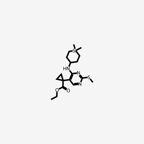 CCOC(=O)C1(c2cnc(SC)nc2NC2CC[Si](C)(C)CC2)CC1